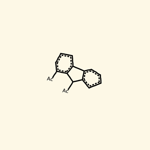 CC(=O)c1cccc2c1C(C(C)=O)c1ccccc1-2